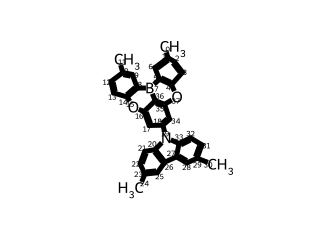 Cc1ccc2c(c1)B1c3cc(C)ccc3Oc3cc(-n4c5ccc(C)cc5c5cc(C)ccc54)cc(c31)O2